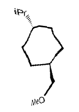 COC[C@H]1CC[C@H](C(C)C)CC1